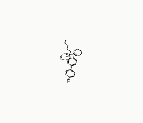 CCCCC[Si]1([Si]2(c3ccc(-c4ccc(F)cc4)cc3)CCCCC2)CCCCC1